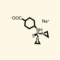 O=C([O-])C1CCC(NP(=S)(N2CC2)N2CC2)CC1.[Na+]